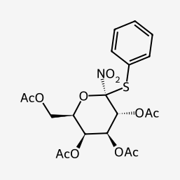 CC(=O)OC[C@H]1O[C@](Sc2ccccc2)([N+](=O)[O-])[C@H](OC(C)=O)[C@@H](OC(C)=O)[C@H]1OC(C)=O